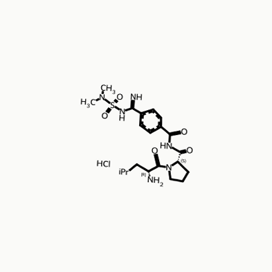 CC(C)C[C@@H](N)C(=O)N1CCC[C@H]1C(=O)NC(=O)c1ccc(C(=N)NS(=O)(=O)N(C)C)cc1.Cl